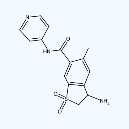 Cc1cc2c(cc1C(=O)Nc1ccncc1)S(=O)(=O)CC2N